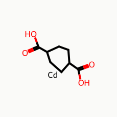 O=C(O)C1CCC(C(=O)O)CC1.[Cd]